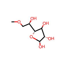 COC[C@@H](O)[C@H]1O[C@H](O)[C@@H](O)C1O